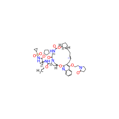 C=C[C@@H]1C[C@]1(NC(=O)[C@@H]1C[C@@H]2CN1C(=O)[C@H](C1CCCC1)NC(=O)O[C@@H]1CCC[C@H]1CC/C=C/Cc1c(nc3ccccc3c1OCCN1CCCC1=O)O2)C(=O)NS(=O)(=O)C1CC1